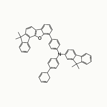 CC1(C)c2ccccc2-c2ccc(N(c3ccc(-c4cccc5c4oc4c6c(ccc45)C(C)(C)c4ccccc4-6)cc3)c3ccc(C4C=CC=CC4)cc3)cc21